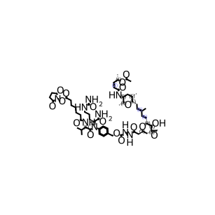 CC(=O)O[C@@H](C)/C=C\C(=O)N[C@@H]1C[C@H](C)[C@H](C/C=C(C)/C=C/[C@H]2O[C@H](CC(=O)NNC(=O)OCc3ccc(N(C(=O)[C@@H](NC(=O)CCCCCC(=O)ON4C(=O)CCC4=O)C(C)C)[C@@H](CCCNC(N)=O)C(N)=O)cc3)C[C@@]3(CO3)[C@@H]2O)O[C@@H]1C